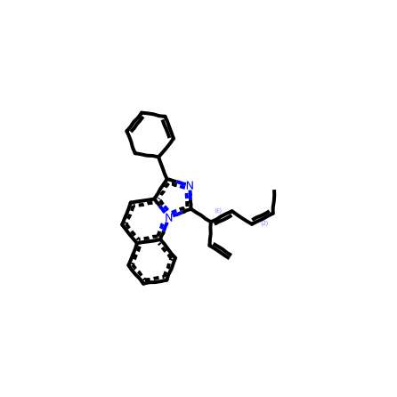 C=C/C(=C\C=C/C)c1nc(C2C=CC=CC2)c2ccc3ccccc3n12